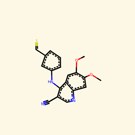 COc1cc2ncc(C#N)c(Nc3cccc(C=S)c3)c2cc1OC